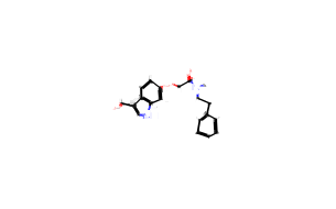 CN(CCc1ccccc1)C(=O)COc1ccc2c(C=O)c[nH]c2c1